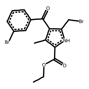 CCOC(=O)c1[nH]c(CBr)c(C(=O)c2cccc(Br)c2)c1C